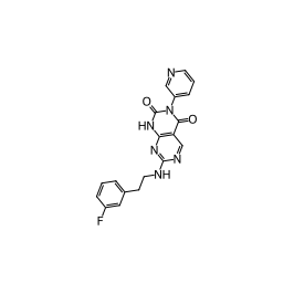 O=c1[nH]c2nc(NCCc3cccc(F)c3)ncc2c(=O)n1-c1cccnc1